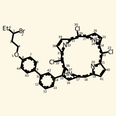 CCC(Br)CCOc1ccc(-c2cccc(-c3cc4cc5nc(c(Cl)c6ccc([nH]6)c(Cl)c6nc(c(Cl)c3[nH]4)C=C6)C=C5)c2)cc1